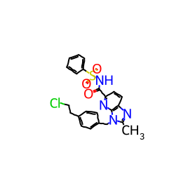 Cc1nc2ccc(C(=O)NS(=O)(=O)c3ccccc3)nc2n1Cc1ccc(CCCl)cc1